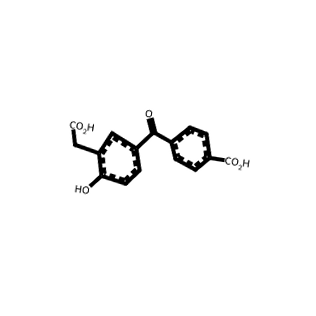 O=C(O)Cc1cc(C(=O)c2ccc(C(=O)O)cc2)ccc1O